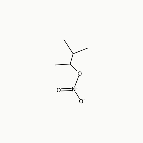 CC(C)C(C)O[N+](=O)[O-]